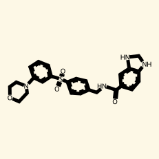 O=C(NCc1ccc(S(=O)(=O)c2cccc(N3CCOCC3)c2)cc1)c1ccc2c(c1)NCN2